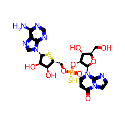 Nc1ncnc2c1ncn2[C@@H]1S[C@H](CO[P@](=O)(S)O[C@@H]2[C@H](O)[C@@H](CO)O[C@H]2n2ccc(=O)n3ccnc23)[C@@H](O)[C@H]1O